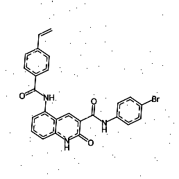 C=Cc1ccc(C(=O)Nc2cccc3[nH]c(=O)c(C(=O)Nc4ccc(Br)cc4)cc23)cc1